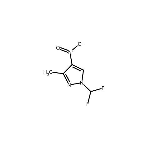 Cc1nn(C(F)F)cc1[N+](=O)[O-]